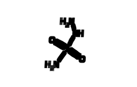 NNS(N)(=O)=O